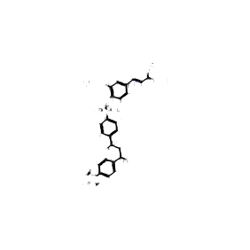 CCOC(O)/C=C/c1ccc(OS(=O)(=O)c2ccc(C(CC)CC(C)c3ccc(S(=O)(=O)Cl)cc3)cc2)c(OC)c1